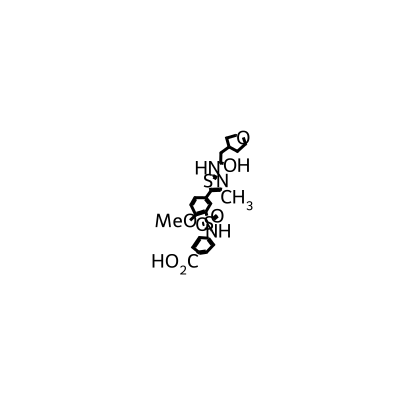 COc1ccc(-c2sc(NC(O)CC3CCOCC3)nc2C)cc1S(=O)(=O)Nc1ccc(C(=O)O)cc1